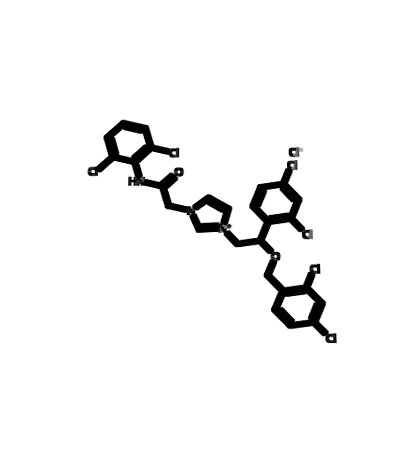 O=C(Cn1cc[n+](CC(OCc2ccc(Cl)cc2Cl)c2ccc(Cl)cc2Cl)c1)Nc1c(Cl)cccc1Cl.[Cl-]